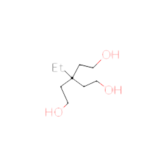 CCC(CCO)(CCO)CCO